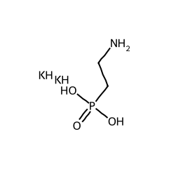 NCCP(=O)(O)O.[KH].[KH]